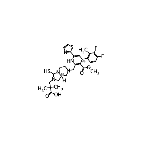 COC(=O)C1=C(CN2CCN3C(S)N(CC(C)(C)C(=O)O)C[C@@H]3C2)NC(c2nccs2)=C[C@H]1c1ccc(F)c(F)c1C